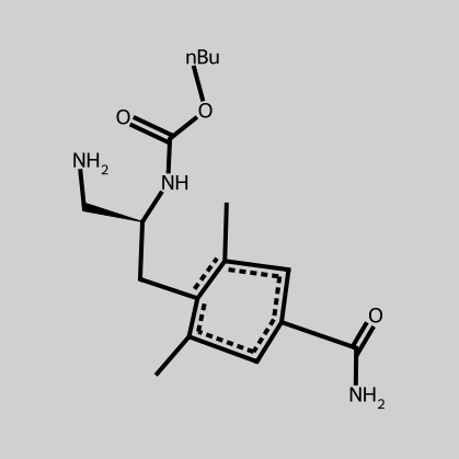 CCCCOC(=O)N[C@H](CN)Cc1c(C)cc(C(N)=O)cc1C